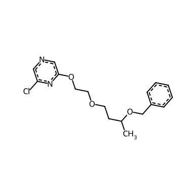 CC(CCOCCOc1cncc(Cl)n1)OCc1ccccc1